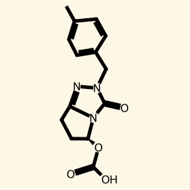 Cc1ccc(Cn2nc3n(c2=O)[C@@H](OC(=O)O)CC3)cc1